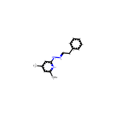 COc1cc(C(F)(F)F)cc(NN=CCc2ccccc2)n1